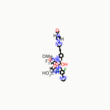 COC(=O)N[C@H](C(=O)N[C@@H](Cc1ccc(C#Cc2cnc(N3C[C@H]4C[C@@H]3CN4C3COC3)nc2)cc1)[C@@H](O)CN(Cc1c(F)cc(-c2ncccn2)cc1F)NC(=O)[C@@H](NC(=O)O)C(C)(C)C(F)(F)F)C(C)(C)C(F)(F)F